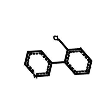 Clc1[c]cccc1-c1cccnc1